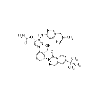 CN(C)Cc1ccc(Nc2nn(-c3cccc(-n4ncc5cc(C(C)(C)C)ccc5c4=O)c3CO)cc2OC(N)=O)nc1